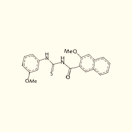 COc1cccc(NC(=S)NC(=O)c2cc3ccccc3cc2OC)c1